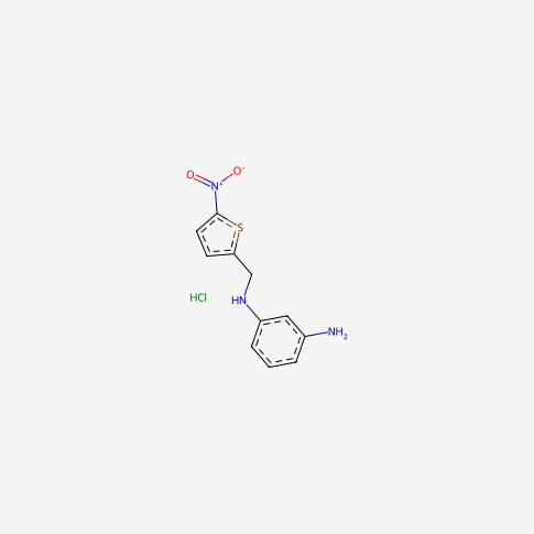 Cl.Nc1cccc(NCc2ccc([N+](=O)[O-])s2)c1